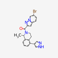 CC1c2cccc(-c3cn[nH]c3)c2CCN1C(=O)c1cc2ccc(Br)cn2n1